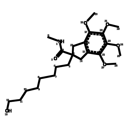 CNC(=O)C1(CCCCCCCCO)Cc2c(c(OC)c(OC)c(OC)c2OC)C1